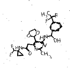 Cc1nc(CC(=O)NC2(C(F)F)CC2)c(C2OCCO2)c(NC(O)c2cccc(C(C)(F)F)c2)n1